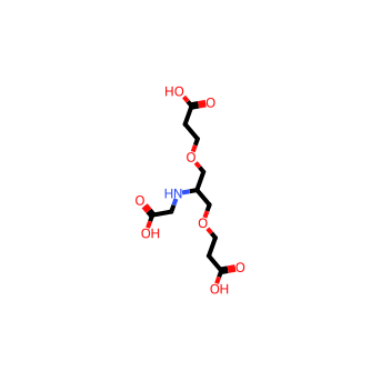 O=C(O)CCOCC(COCCC(=O)O)NCC(=O)O